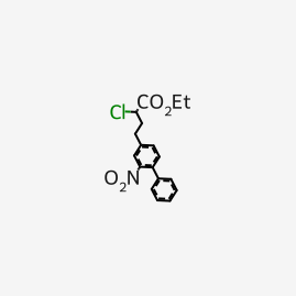 CCOC(=O)C(Cl)CCc1ccc(-c2ccccc2)c([N+](=O)[O-])c1